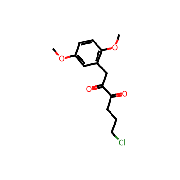 COc1ccc(OC)c(CC(=O)C(=O)CCCCl)c1